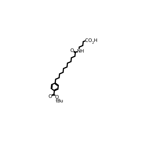 CC(C)(C)OC(=O)c1ccc(CCCCCCCCCCC(=O)NCCCC(=O)O)cc1